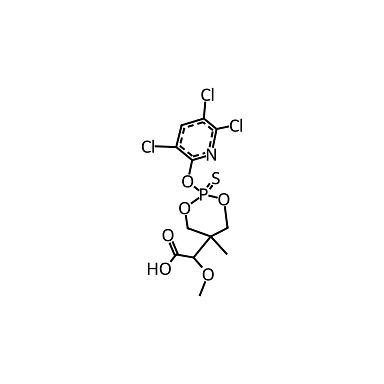 COC(C(=O)O)C1(C)COP(=S)(Oc2nc(Cl)c(Cl)cc2Cl)OC1